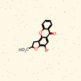 O=C(O)C1Cc2c(c(Br)cc3c(=O)c4ccccc4oc23)O1